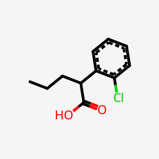 CCCC(C(=O)O)c1ccccc1Cl